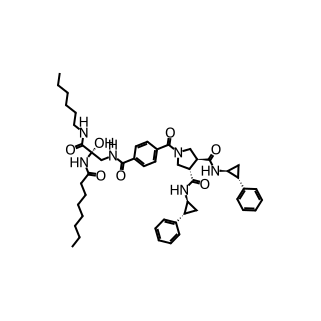 CCCCCCCC(=O)N[C@](O)(CNC(=O)c1ccc(C(=O)N2C[C@@H](C(=O)N[C@H]3C[C@@H]3c3ccccc3)[C@H](C(=O)N[C@H]3C[C@@H]3c3ccccc3)C2)cc1)C(=O)NCCCCCC